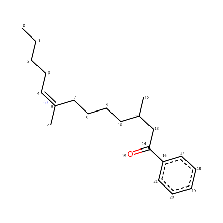 CCCC/C=C(/C)CCCCC(C)CC(=O)c1ccccc1